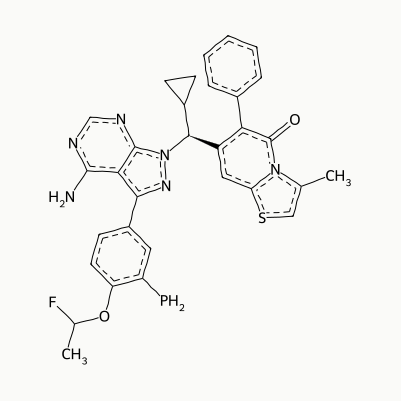 Cc1csc2cc([C@H](C3CC3)n3nc(-c4ccc(OC(C)F)c(P)c4)c4c(N)ncnc43)c(-c3ccccc3)c(=O)n12